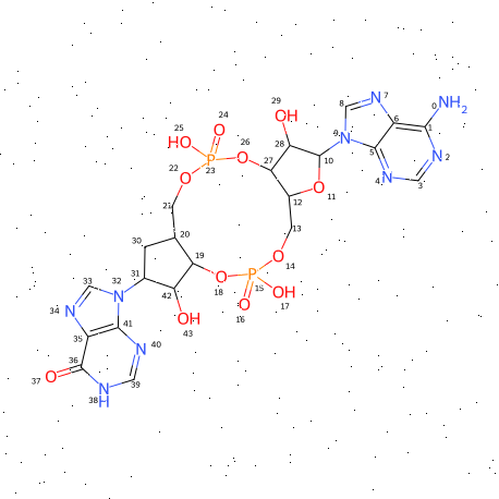 Nc1ncnc2c1ncn2C1OC2COP(=O)(O)OC3C(COP(=O)(O)OC2C1O)CC(n1cnc2c(=O)[nH]cnc21)C3O